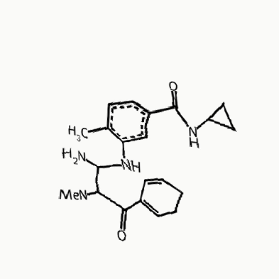 CNC(C(=O)C1=CCCC=C1)C(N)Nc1cc(C(=O)NC2CC2)ccc1C